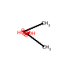 CCCCCCCCCCCCCCCCCCCC(C(=O)O)C(=O)OC(=O)C(CCCCCCCCCCCCCCCCCCC)C(=O)O